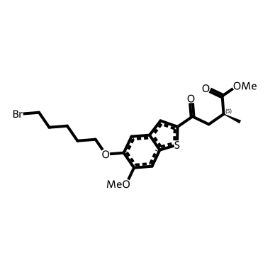 COC(=O)[C@@H](C)CC(=O)c1cc2cc(OCCCCCBr)c(OC)cc2s1